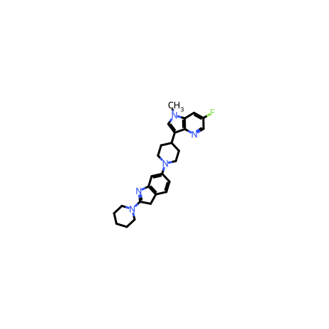 Cn1cc(C2CCN(c3ccc4c(c3)N=C(N3CCCCC3)C4)CC2)c2ncc(F)cc21